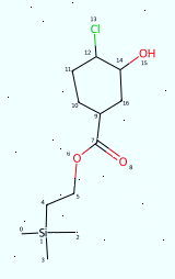 C[Si](C)(C)CCOC(=O)C1CCC(Cl)C(O)C1